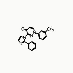 O=c1ccn(-c2cccc(C(F)(F)F)c2)nc1-n1ccnc1-c1ccccc1